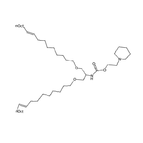 CCCCCCCCC=CCCCCCCCCOCC(COCCCCCCCCC=CCCCCCCCC)NC(=O)OCCN1CCCCC1